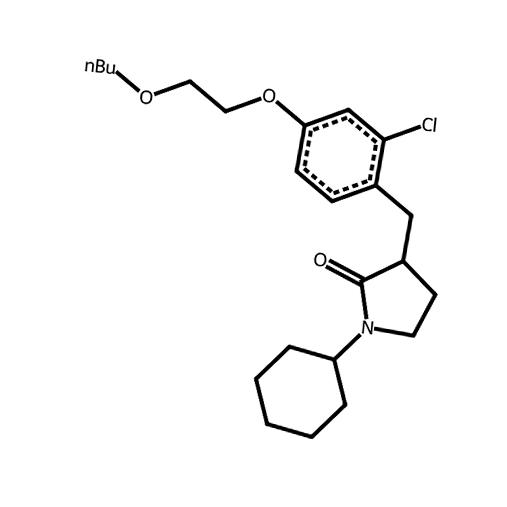 CCCCOCCOc1ccc(CC2CCN(C3CCCCC3)C2=O)c(Cl)c1